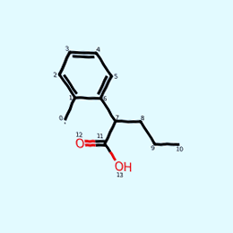 [CH2]c1ccccc1C(CCC)C(=O)O